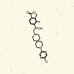 Cc1c(C(O)CN2CCC3(CC2)CCN(c2cnc(Cl)cn2)CC3)ccc2c1COC2=O